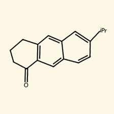 CC(C)c1ccc2cc3c(cc2c1)CCCC3=O